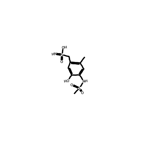 Cc1cc(NS(C)(=O)=O)c(O)cc1CS(=N)(=O)O